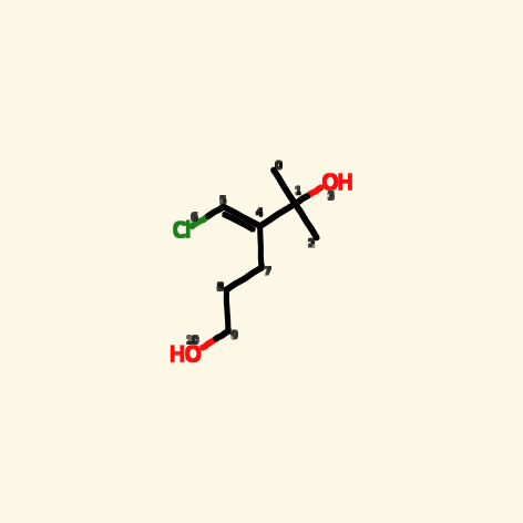 CC(C)(O)C(=CCl)CCCO